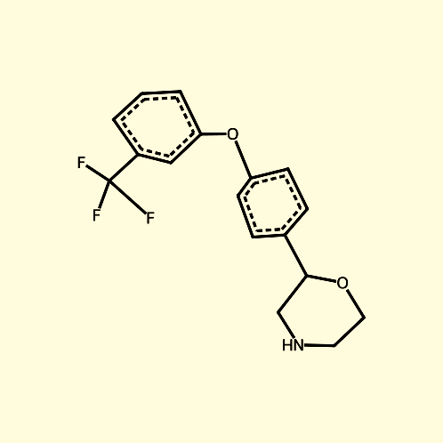 FC(F)(F)c1cccc(Oc2ccc(C3CNCCO3)cc2)c1